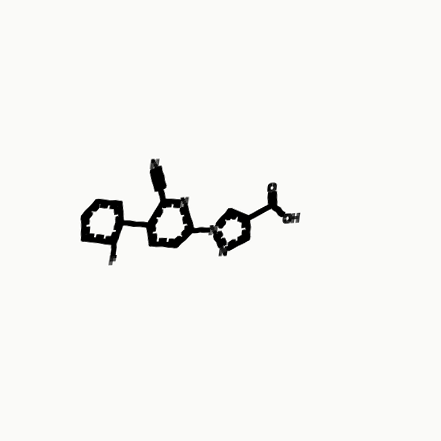 N#Cc1nc(-n2cc(C(=O)O)cn2)ccc1-c1ccccc1F